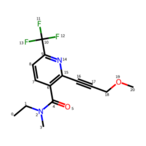 CCN(C)C(=O)c1ccc(C(F)(F)F)nc1C#CCOC